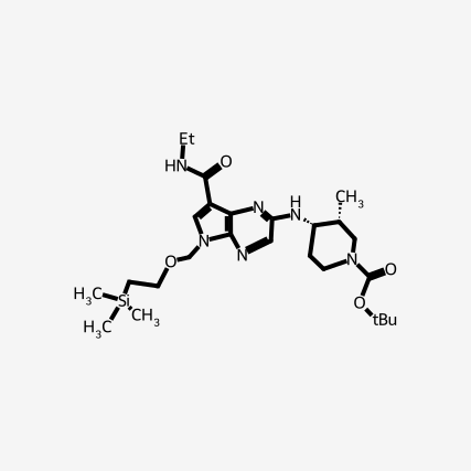 CCNC(=O)c1cn(COCC[Si](C)(C)C)c2ncc(N[C@H]3CCN(C(=O)OC(C)(C)C)C[C@H]3C)nc12